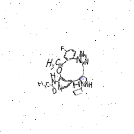 CC(=O)Nc1ncc2cc1O[C@H](C)c1cc(F)ccc1-n1ncnc1C/C(C=N)=C\2NC1CCC1